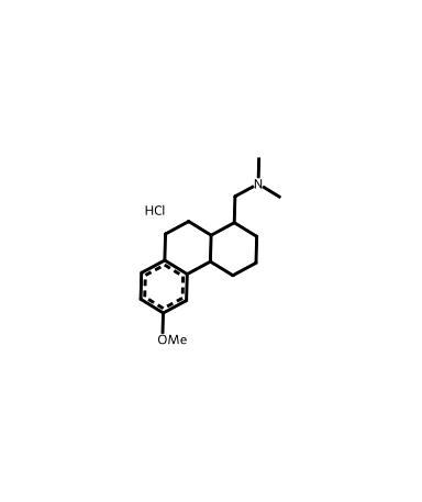 COc1ccc2c(c1)C1CCCC(CN(C)C)C1CC2.Cl